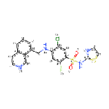 O=S(=O)(Nc1nccs1)c1cc(Cl)c(NCc2cccc3ccncc23)cc1F